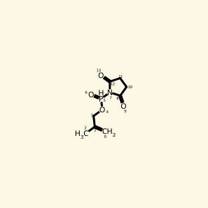 C=C(C)CO[PH](=O)N1C(=O)CCC1=O